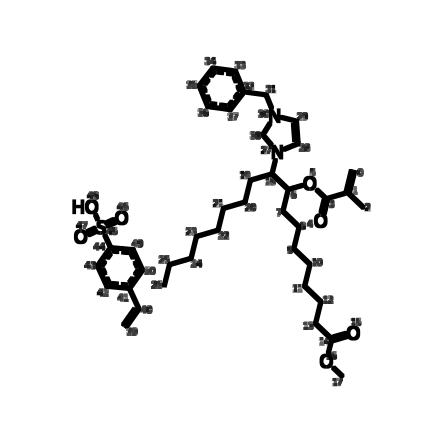 C=C(C)C(=O)OC(CCCCCCCC(=O)OC)C(CCCCCCCC)N1C=CN(Cc2ccccc2)C1.C=Cc1ccc(S(=O)(=O)O)cc1